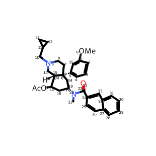 COc1cccc([C@@]23CCN(CC4CC4)C[C@H]2C(OC(C)=O)C[C@@H](N(C)C(=O)c2ccc4ccccc4c2)C3)c1